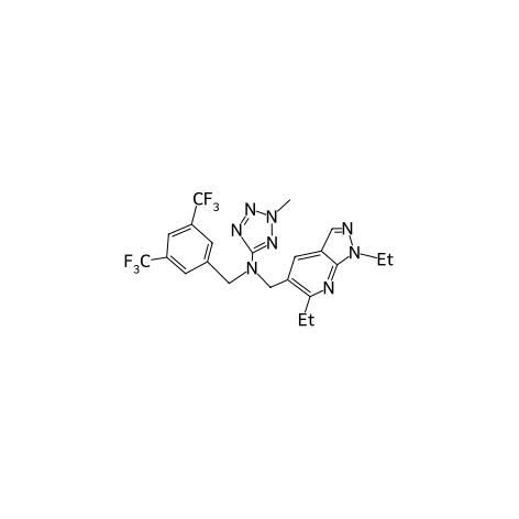 [CH2]Cc1nc2c(cnn2CC)cc1CN(Cc1cc(C(F)(F)F)cc(C(F)(F)F)c1)c1nnn(C)n1